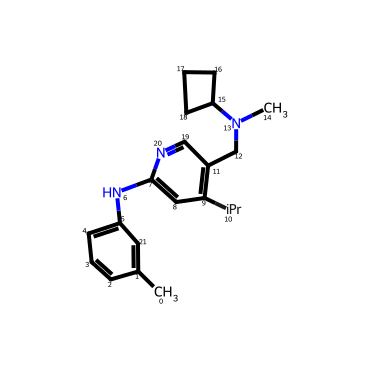 Cc1cccc(Nc2cc(C(C)C)c(CN(C)C3CCC3)cn2)c1